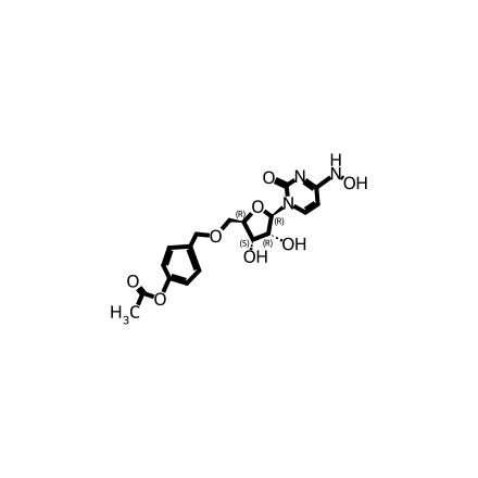 CC(=O)Oc1ccc(COC[C@H]2O[C@@H](n3ccc(NO)nc3=O)[C@H](O)[C@@H]2O)cc1